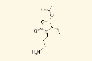 CCC1C(OC(C)=O)OC(=O)[C@@H]1CCCN